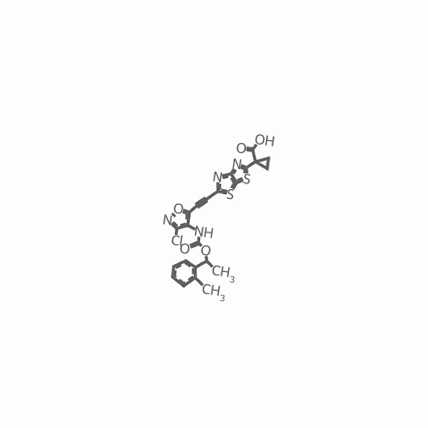 Cc1ccccc1C(C)OC(=O)Nc1c(Cl)noc1C#Cc1nc2nc(C3(C(=O)O)CC3)sc2s1